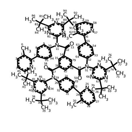 Cc1cccnc1-c1ccc(N(C(=O)c2cc(C(=O)N(c3ccc(-c4ncccc4C)cc3)c3nc(C(C)(C)C)nc(C(C)(C)C)n3)cc(C(=O)N(c3ccc(-c4ncccc4C)cc3)c3nc(C(C)(C)C)nc(C(C)(C)C)n3)c2)c2nc(C(C)(C)C)nc(C(C)(C)C)n2)cc1